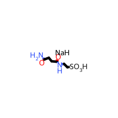 NC(=O)CCC(=O)NCCS(=O)(=O)O.[NaH]